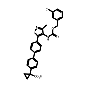 Cc1nsc(-c2ccc(-c3ccc(C4(C(=O)O)CC4)cc3)cc2)c1NC(=O)OCc1cccc(Cl)c1